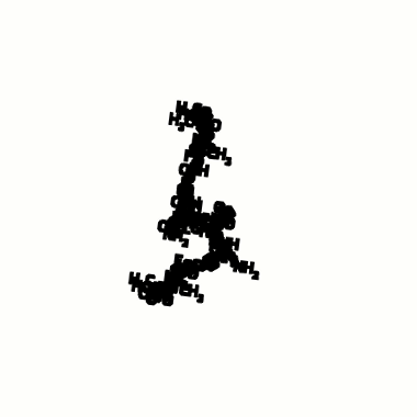 C=C1OCc2c(cc3n(c2=O)Cc2c-3nc3cc(F)c(OCNC(=O)OCc4ccc(NC(=O)[C@H](CCCNC(N)=O)NC(=O)[C@@H](NC(=O)CN(CCN5C(=O)C=CC5=O)CC(=O)NCC(=O)N[C@@H](CCCCN)C(=O)Nc5ccc(COC(=O)Oc6cc7c(CC)c8c(nc7cc6F)-c6cc7c(c(=O)n6C8)COC(=O)[C@]7(O)CC)cc5)C(C)C)cc4)cc3c2CC)[C@@]1(O)CC